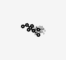 Bc1c(B)c(-n2c(-c3ccc(-c4c5ccccc5c(-c5cccc(-c6ccccc6)c5)c5ccccc45)cc3)nc3ccccc32)c(B)c(C)c1C